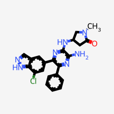 CN1CC(Nc2nc(-c3cc(Cl)c4[nH]ncc4c3)c(-c3ccccc3)nc2N)CC1=O